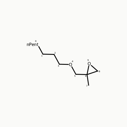 CCCCCCCCOCC1(C)CO1